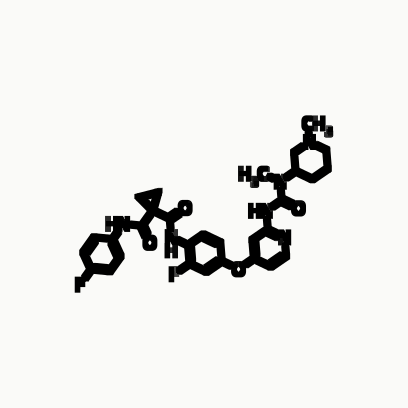 CN1CCCC(N(C)C(=O)Nc2cc(Oc3ccc(NC(=O)C4(C(=O)Nc5ccc(F)cc5)CC4)c(F)c3)ccn2)C1